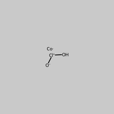 [Co].[O-][Cl+]O